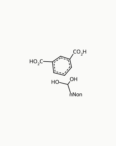 CCCCCCCCCC(O)O.O=C(O)c1cccc(C(=O)O)c1